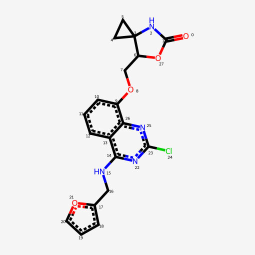 O=C1NC2(CC2)C(COc2cccc3c(NCc4ccco4)nc(Cl)nc23)O1